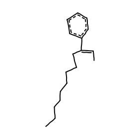 CC=C(CCCCCCCCC)c1ccccc1